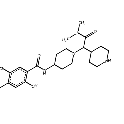 CN(C)C(=O)C(C1CCNCC1)N1CCC(NC(=O)c2cc(Cl)c(N)cc2O)CC1